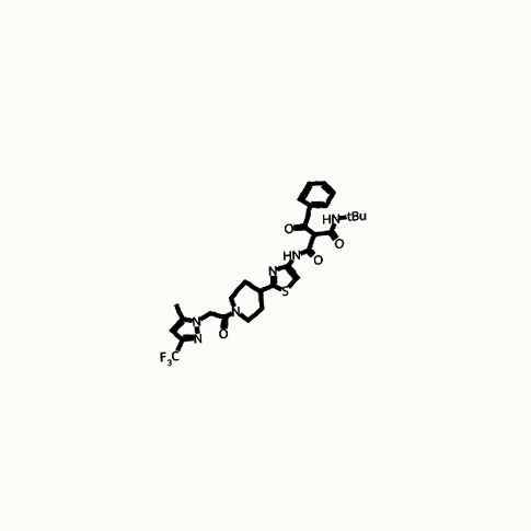 Cc1cc(C(F)(F)F)nn1CC(=O)N1CCC(c2nc(NC(=O)C(C(=O)NC(C)(C)C)C(=O)c3ccccc3)cs2)CC1